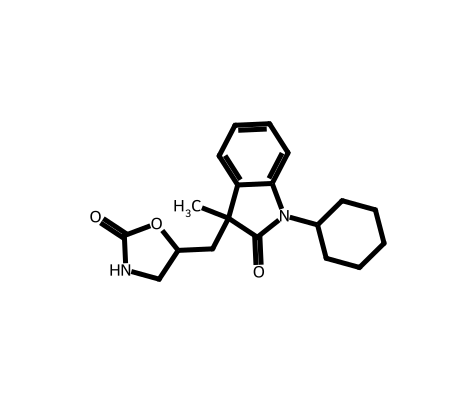 CC1(CC2CNC(=O)O2)C(=O)N(C2CCCCC2)c2ccccc21